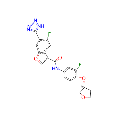 O=C(Nc1ccc(O[C@@H]2CCOC2)c(F)c1)c1coc2cc(-c3nnn[nH]3)c(F)cc12